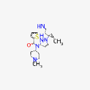 CC1=CC1(CC=N)N1C=CC(N(C(=O)c2cccs2)C2CCN(C)CC2)N1